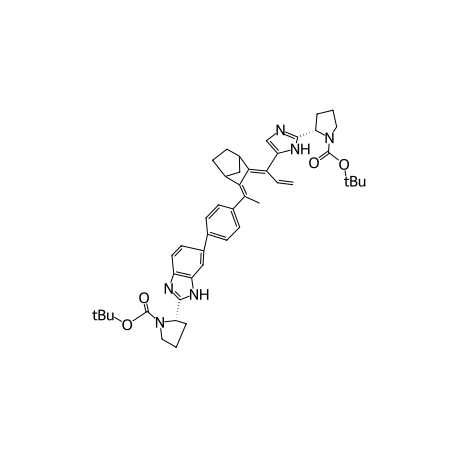 C=C/C(=C1\C(=C(/C)c2ccc(-c3ccc4nc([C@@H]5CCCN5C(=O)OC(C)(C)C)[nH]c4c3)cc2)C2CCC1C2)c1cnc([C@@H]2CCCN2C(=O)OC(C)(C)C)[nH]1